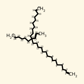 C=CCCCCCCCCCCCCCCC(C=CC)(CCCCC=C)CCCCCCCCC=C